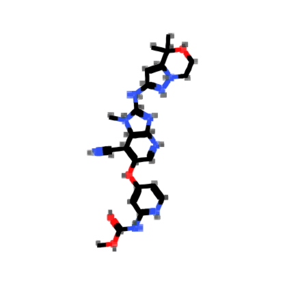 COC(=O)Nc1cc(Oc2cnc3nc(Nc4cc5n(n4)CCOC5(C)C)n(C)c3c2C#N)ccn1